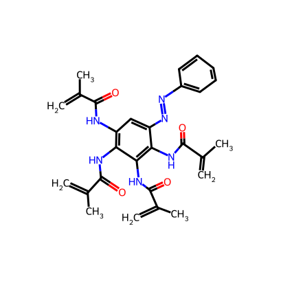 C=C(C)C(=O)Nc1cc(N=Nc2ccccc2)c(NC(=O)C(=C)C)c(NC(=O)C(=C)C)c1NC(=O)C(=C)C